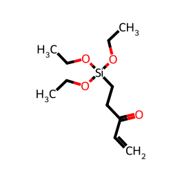 C=CC(=O)CC[Si](OCC)(OCC)OCC